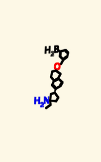 Bc1cccc(CO[C@@H]2CCc3cc([C@H]4CC[C@](N)(CC)C4)ccc3C2)c1